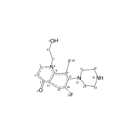 O=c1ccn(CCO)c2c(F)c(N3CCNCC3)c(F)cc12